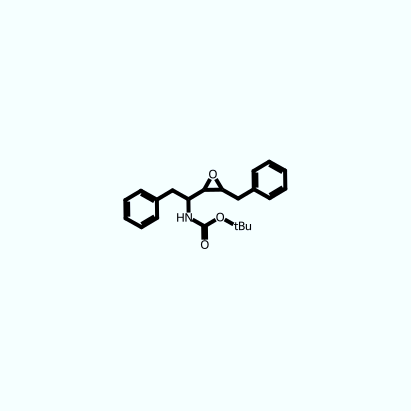 CC(C)(C)OC(=O)NC(Cc1ccccc1)C1OC1Cc1ccccc1